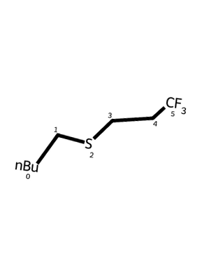 CCCCCSCCC(F)(F)F